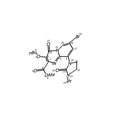 CCCCOc1c(C(=O)OC)nc2c(N3CCN(C(C)C)C3=O)cc(Br)cn2c1=O